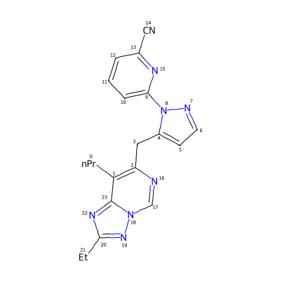 CCCc1c(Cc2ccnn2-c2cccc(C#N)n2)ncn2nc(CC)nc12